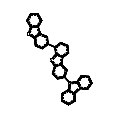 c1ccc2c(c1)oc1ccc(-c3cccc4c3sc3ccc(-n5c6ccccc6c6ccccc65)cc34)cc12